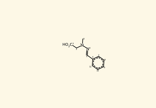 CN(CC(=O)O)N=Cc1ccccc1